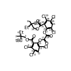 CCC(C)(COC(=O)c1c(Cl)c(Cl)cc(Cl)c1OC(=O)C(=O)Oc1c(Cl)cc(Cl)c(Cl)c1C(=O)OCC(C)(CC)C(C)(C)C)C(C)(C)C